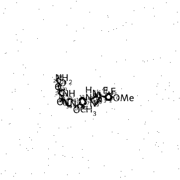 COc1ccc(-c2cnc3c(Nc4ccc(C(=O)N5CCN(C(=O)[C@@H]6C[C@@H](OC(=O)CN)CN6)CC5)c(C)c4)nccn23)c(F)c1F